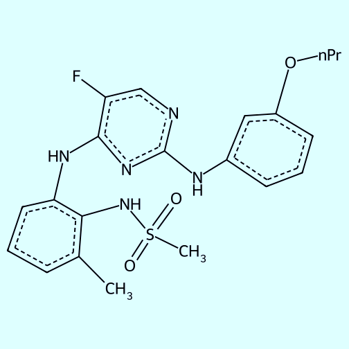 CCCOc1cccc(Nc2ncc(F)c(Nc3cccc(C)c3NS(C)(=O)=O)n2)c1